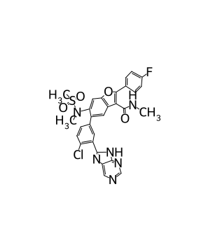 CNC(=O)c1c(-c2ccc(F)cc2)oc2cc(N(C)S(C)(=O)=O)c(-c3ccc(Cl)c(-c4nc5cncnc5[nH]4)c3)cc12